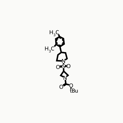 Cc1ccc(C2CCN(S(=O)(=O)C3CN(C(=O)OC(C)(C)C)C3)CC2)c(C)c1